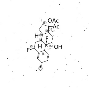 CC(=O)O[C@@]1(C(C)=O)[C@@H](C)C[C@H]2[C@@H]3C[C@H](F)C4=CC(=O)C=C[C@]4(C)[C@@]3(F)[C@@H](O)C[C@@]21C